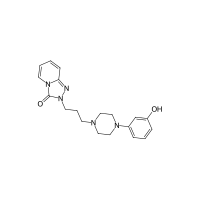 O=c1n(CCCN2CCN(c3cccc(O)c3)CC2)nc2ccccn12